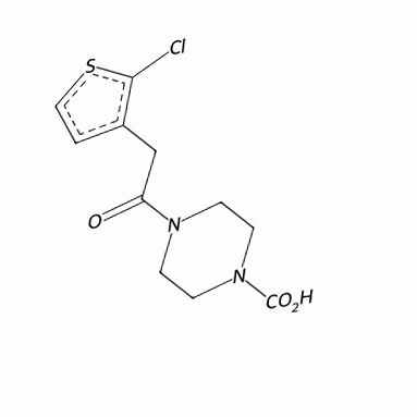 O=C(O)N1CCN(C(=O)Cc2ccsc2Cl)CC1